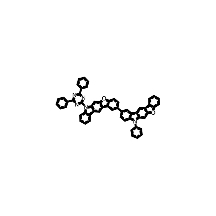 c1ccc(-c2nc(-c3ccccc3)nc(-n3c4ccccc4c4cc5c(cc43)oc3ccc(-c4ccc6c(c4)c4cc7c(cc4n6-c4ccccc4)oc4ccccc47)cc35)n2)cc1